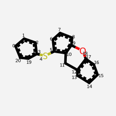 c1ccc(Sc2cccc3c2Cc2ccccc2O3)cc1